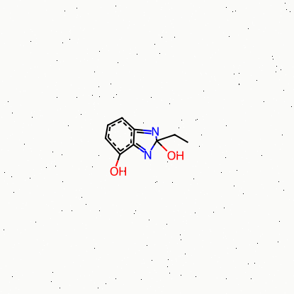 CCC1(O)N=c2cccc(O)c2=N1